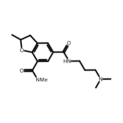 CNC(=O)c1cc(C(=O)NCCCN(C)C)cc2c1OC(C)C2